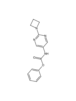 O=C(Nc1cnc(N2CCC2)nc1)Oc1ccccc1